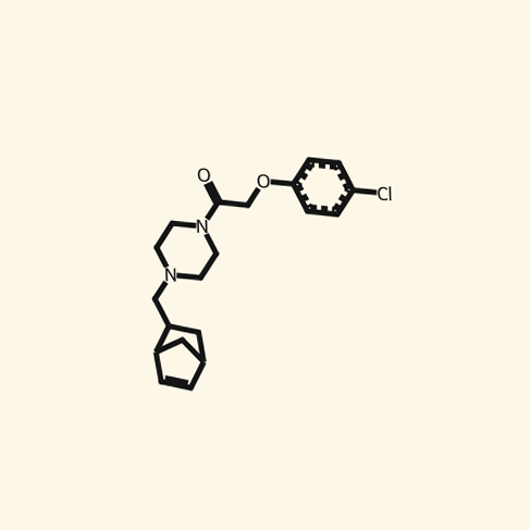 O=C(COc1ccc(Cl)cc1)N1CCN(CC2CC3C=CC2C3)CC1